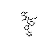 CCCCc1cn(-c2nccn2C)c(=O)n1CC1(c2cccc(-c3nnn[nH]3)c2)C=CN=CC1